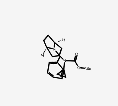 CC(C)(C)OC(=O)N(C1CC1)C1C[C@H]2CC[C@@H](C1)N2Cc1ccccc1